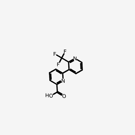 O=C(O)c1cccc(-c2cccnc2C(F)(F)F)n1